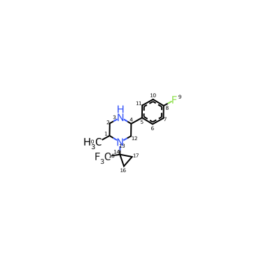 CC1CNC(c2ccc(F)cc2)CN1C1(C(F)(F)F)CC1